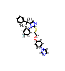 CC(C)(c1ccccc1)c1cnc(SCCOc2ccc(-n3ccnc3)cc2)n1-c1ccc(F)cc1